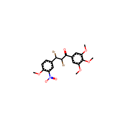 COc1ccc(C(Br)C(Br)C(=O)c2cc(OC)c(OC)c(OC)c2)cc1[N+](=O)[O-]